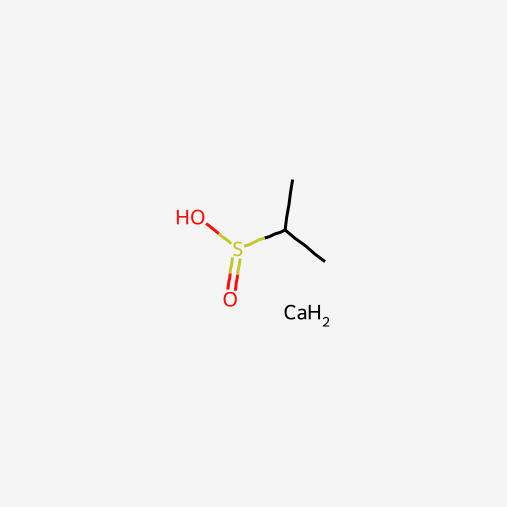 CC(C)S(=O)O.[CaH2]